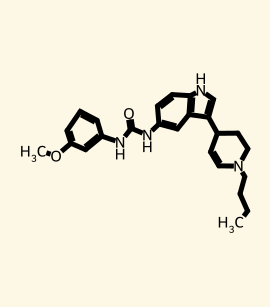 CCCCN1C=CC(c2c[nH]c3ccc(NC(=O)Nc4cccc(OC)c4)cc23)CC1